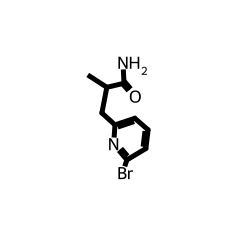 CC(Cc1cccc(Br)n1)C(N)=O